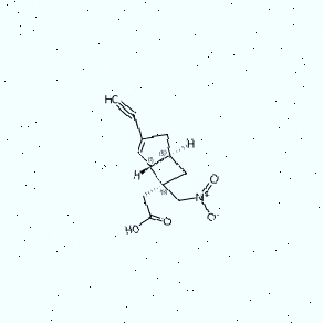 C#CC1=C[C@@H]2[C@@H](C1)C[C@@]2(CC(=O)O)C[N+](=O)[O-]